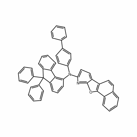 c1ccc(-c2ccc(N(c3ccc4c(n3)oc3c5ccccc5ccc43)c3cccc4c3-c3ccccc3C4(c3ccccc3)c3ccccc3)cc2)cc1